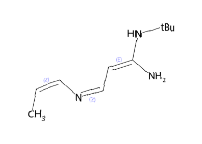 C\C=C/N=C\C=C(/N)NC(C)(C)C